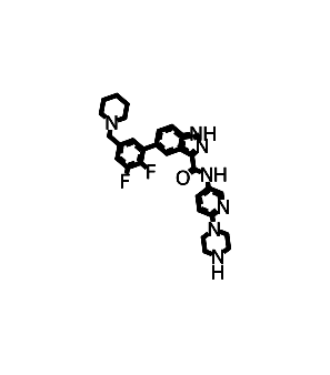 O=C(Nc1ccc(N2CCNCC2)nc1)c1n[nH]c2ccc(-c3cc(CN4CCCCC4)cc(F)c3F)cc12